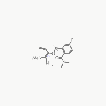 C=C/C(O[C@H](C)c1cc(F)ccc1C(=O)N(C)C)=C(/N)NC